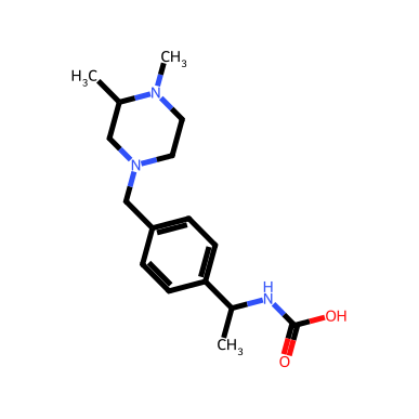 CC(NC(=O)O)c1ccc(CN2CCN(C)C(C)C2)cc1